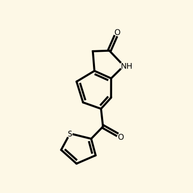 O=C1Cc2ccc(C(=O)c3cccs3)cc2N1